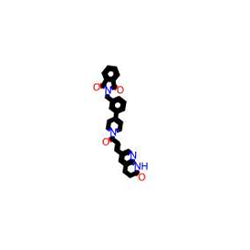 O=C1CCc2cc(C=CC(=O)N3CC=C(c4cccc(CN5C(=O)c6ccccc6C5=O)c4)CC3)cnc2N1